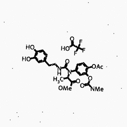 CNC(=O)Oc1cc(N(C(=O)NCCc2ccc(O)c(O)c2)C(C)C(=O)OC)ccc1OC(C)=O.O=C(O)C(F)(F)F